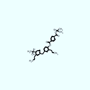 C=CCc1cc(Cc2ccc(C(C)(C)CC)c(CC=C)c2)ccc1OC(=O)c1ccc(C(=O)OC(C)(C)CC)cc1